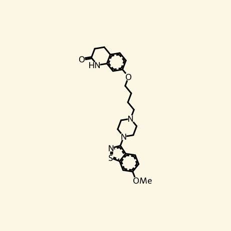 COc1ccc2c(N3CCN(CCCCOc4ccc5c(c4)NC(=O)CC5)CC3)nsc2c1